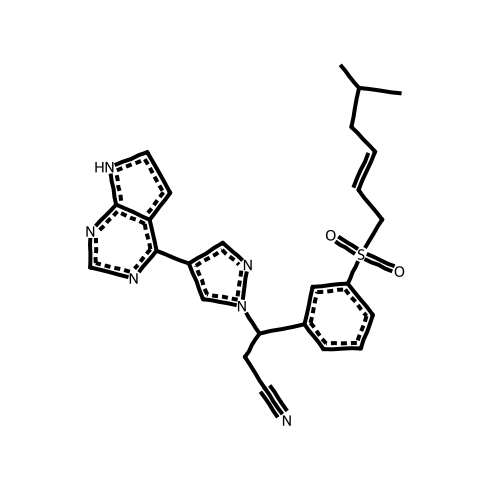 CC(C)CC=CCS(=O)(=O)c1cccc(C(CC#N)n2cc(-c3ncnc4[nH]ccc34)cn2)c1